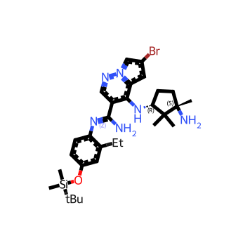 CCc1cc(O[Si](C)(C)C(C)(C)C)ccc1/N=C(\N)c1cnn2cc(Br)cc2c1N[C@@H]1CC[C@](C)(N)C1(C)C